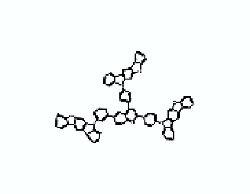 c1cc(-c2ccc3nc(-c4ccc(-n5c6ccccc6c6cc7c(cc65)oc5ccccc57)cc4)nc(-c4ccc(-n5c6ccccc6c6cc7c(cc65)oc5ccccc57)cc4)c3c2)cc(-n2c3ccccc3c3cc4c(cc32)oc2ccccc24)c1